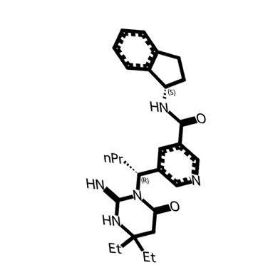 CCC[C@H](c1cncc(C(=O)N[C@H]2CCc3ccccc32)c1)N1C(=N)NC(CC)(CC)CC1=O